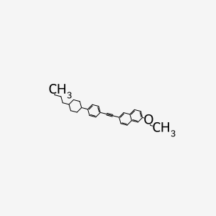 CCCCC1CCC(c2ccc(C#Cc3ccc4cc(OCC)ccc4c3)cc2)CC1